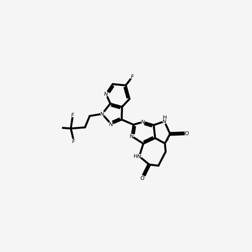 CC(F)(F)CCn1nc(-c2nc3c4c(n2)NC(=O)[C@]4(C)CCC(=O)N3)c2cc(F)cnc21